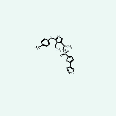 CCn1c(C(C)NS(=O)(=O)c2ccc(-c3csnn3)s2)cnc1Oc1ccc(C)cc1